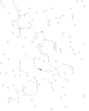 COC1CCC(CN(C)C2CCCCC2Oc2ccc3c(c2C2CCCC[C@@H]2OC)CN(C2CCC(=O)NC2=O)C3=O)CC1